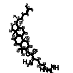 CC(C)=CCC[C@@H](C)[C@H]1CC[C@@]2(C)C3=C(CC[C@]12C)[C@@]1(C)CC[C@H](OC(=O)[C@@H](N)CCCNC(=N)N)C(C)(C)C1CC3